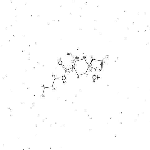 C=C(C)C[C@@]1(CO)CCN(C(=O)OCCCC)[C@H](C)C1